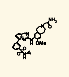 COc1cc2c(cc1Nc1ncc3ccc(-c4cccc(S(=O)(=O)NC5CC5)c4)n3n1)CCN(CC(N)=O)CC2